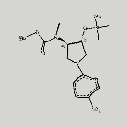 CN(C(=O)OC(C)(C)C)[C@@H]1CN(c2ccc([N+](=O)[O-])cn2)C[C@H]1O[Si](C)(C)C(C)(C)C